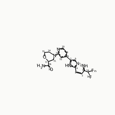 N=C(/C=C\c1ncc(-c2ccnc(N3CCOC(C(N)=O)C3)c2)[nH]1)C(F)F